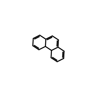 C1=CC2=CC=C3C=CC=CC3C2C=C1